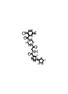 O=C(NCC(=O)N1CCN(C(=O)c2cc(F)ccc2Cl)CC1)c1cn(C2CCCC2)nn1